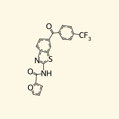 O=C(c1ccc(C(F)(F)F)cc1)c1ccc2nc(NC(=O)c3ccco3)sc2c1